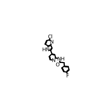 O=C(Cc1ccc(F)cc1)Nc1cc(-c2cc3nc(Cl)ccc3[nH]2)ccn1